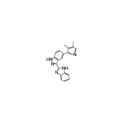 Cc1cncc(-c2ccc3[nH]nc(-c4nc5ccccc5[nH]4)c3c2)c1C